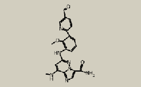 CNc1cc(Nc2cccc(-c3ccc(C=O)cn3)c2OC)nn2c(C(N)=O)cnc12